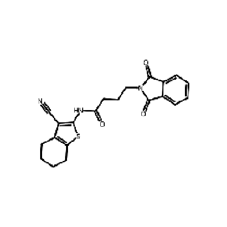 N#Cc1c(NC(=O)CCCN2C(=O)c3ccccc3C2=O)sc2c1CCCC2